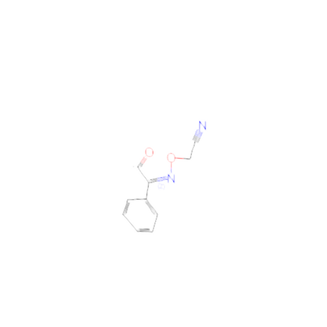 N#CCO/N=C(\[C]=O)c1ccccc1